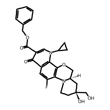 O=C(OCc1ccccc1)c1cn(C2CC2)c2c3c(c(F)cc2c1=O)N1CC[C@@](O)(CO)C[C@@H]1CO3